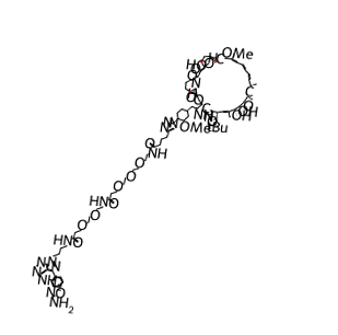 CO[C@H]1C[C@@H]2CC[C@@H](C)[C@@](O)(O2)C(=O)C(=O)N2CCCC[C@H]2C(=O)O[C@H]([C@H](N)C[C@@H]2CC[C@H](n3cc(CCCC(=O)NCCOCCOCCOCCC(=O)NCCOCCOCCC(=O)NCCCCn4nc(-c5ccc6oc(N)nc6c5)c5c(N)ncnc54)nn3)[C@H](OC)C2)C/C(=N/OC(C)(C)C)[C@H](C)/C=C(\C)[C@@H](O)[C@@H](O)C(=O)[C@H](C)C[C@H](C)/C=C/C=C/C=C/1C